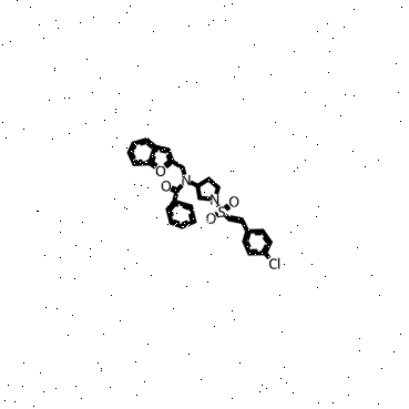 O=C(c1ccccc1)N(Cc1cc2ccccc2o1)C1CCN(S(=O)(=O)/C=C/c2ccc(Cl)cc2)C1